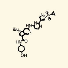 CCC(C)n1cc(C(=O)NC2CCC(O)CC2)c2cnc(Nc3ccnc(-c4cnn(S(=O)(=O)C5CC5)c4)n3)cc21